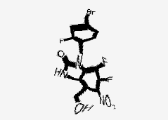 O=c1[nH]c2c(CO)c([N+](=O)[O-])c(F)c(F)c2n1-c1ccc(Br)cc1F